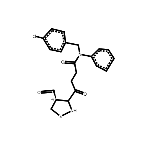 O=C[C@@H]1CSNC1C(=O)CCC(=O)N(Cc1ccc(Cl)cc1)c1ccccc1